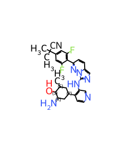 C[C@H]1C[C@@H](c2ccncc2Nc2ncc3ccc(-c4c(F)cc(C(C)(C)C#N)cc4F)nn23)C[C@@H](N)[C@H]1O